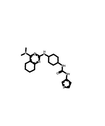 CN(C)c1nc(NC2CCC(NC(=O)Nc3ccsc3)CC2)nc2c1CCCC2